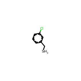 [SiH3]Cc1cccc(Cl)c1